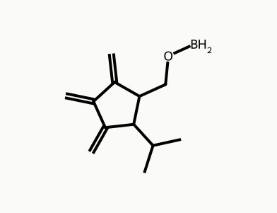 BOCC1C(=C)C(=C)C(=C)C1C(C)C